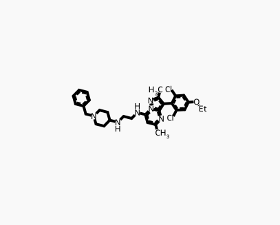 CCOc1cc(Cl)c(-c2c(C)nn3c(NCCNC4CCN(Cc5ccccc5)CC4)cc(C)nc23)c(Cl)c1